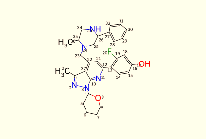 Cc1nn(C2CCCCO2)c2nc(-c3ccc(O)cc3F)cc(CN3CC(c4ccccc4)NCC3C)c12